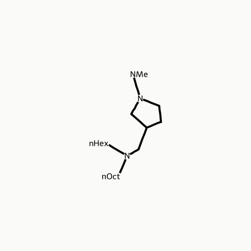 CCCCCCCCN(CCCCCC)CC1CCN(NC)C1